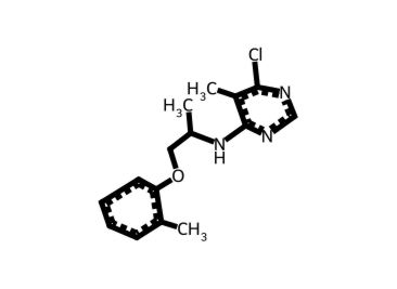 Cc1ccccc1OCC(C)Nc1ncnc(Cl)c1C